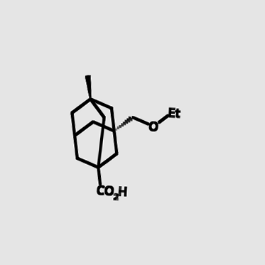 CCOC[C@]12CC3CC(C(=O)O)(C[C@](C)(C3)C1)C2